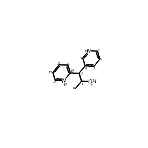 CC(O)C(c1cccnc1)c1ccccn1